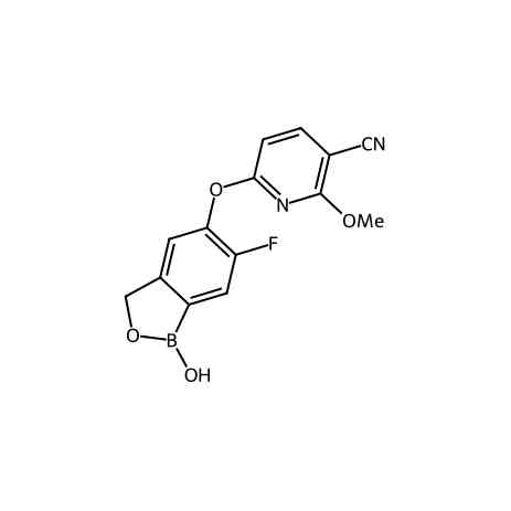 COc1nc(Oc2cc3c(cc2F)B(O)OC3)ccc1C#N